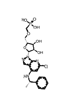 C[C@H](Nc1cc(Cl)nc2c1cnn2[C@@H]1O[C@H](COCP(=O)(O)O)[C@@H](O)[C@H]1O)c1ccccc1